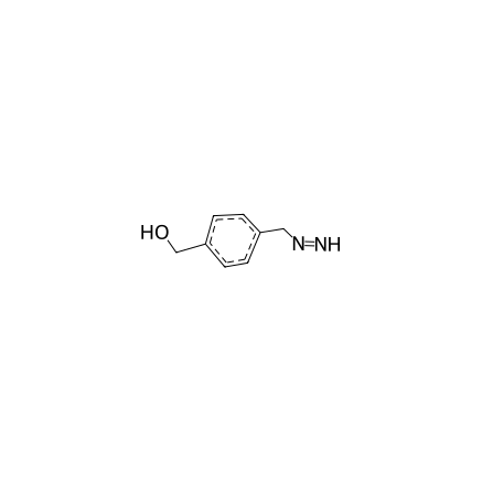 N=NCc1ccc(CO)cc1